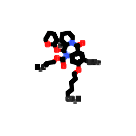 C=CCOC(=O)N1c2cc(OCCCCCC(=O)O)c(OC)cc2C(=O)N2CCCC[C@H]2[C@@H]1OC1CCCCO1